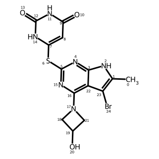 Cc1[nH]c2nc(Sc3cc(=O)[nH]c(=O)[nH]3)nc(N3CC(O)C3)c2c1Br